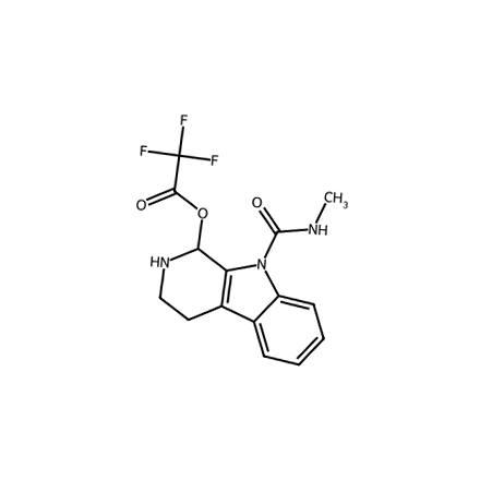 CNC(=O)n1c2c(c3ccccc31)CCNC2OC(=O)C(F)(F)F